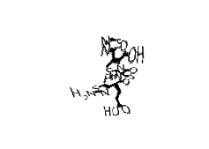 Nc1nc(C(=CCC(=O)O)C(=O)N[C@]2(C=S)C(=O)N3C(C(=O)O)=C(c4nncs4)CS[C@H]32)cs1